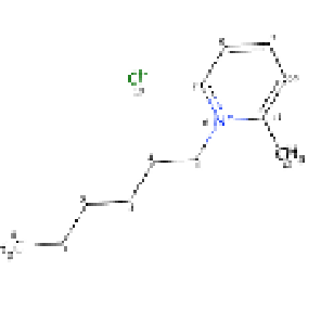 CCCCCC[n+]1ccccc1C.[Cl-]